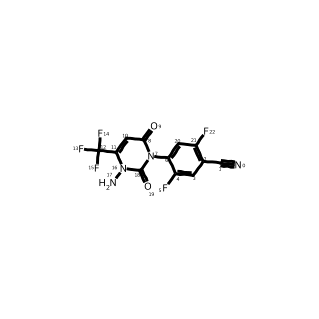 N#Cc1cc(F)c(-n2c(=O)cc(C(F)(F)F)n(N)c2=O)cc1F